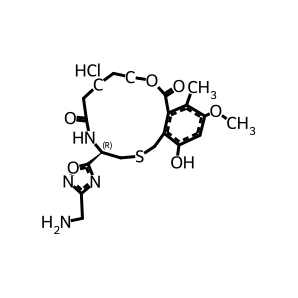 COc1cc(O)c2c(c1C)C(=O)OCCCCC(=O)N[C@H](c1nc(CN)no1)CSC2.Cl